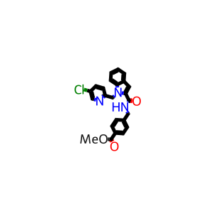 COC(=O)c1ccc(CNC(=O)c2cc3ccccc3n2Cc2ccc(Cl)cn2)cc1